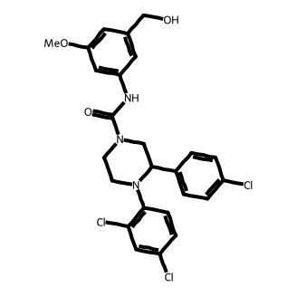 COc1cc(CO)cc(NC(=O)N2CCN(c3ccc(Cl)cc3Cl)C(c3ccc(Cl)cc3)C2)c1